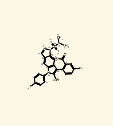 COC(=O)c1cc(F)ccc1-c1c(C(C)C)n(-c2ccc(F)cc2)c2cc3cnn(S(=O)(=O)N(C)C)c3cc12